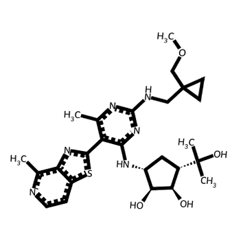 COCC1(CNc2nc(C)c(-c3nc4c(C)nccc4s3)c(N[C@@H]3C[C@H](C(C)(C)O)[C@@H](O)[C@H]3O)n2)CC1